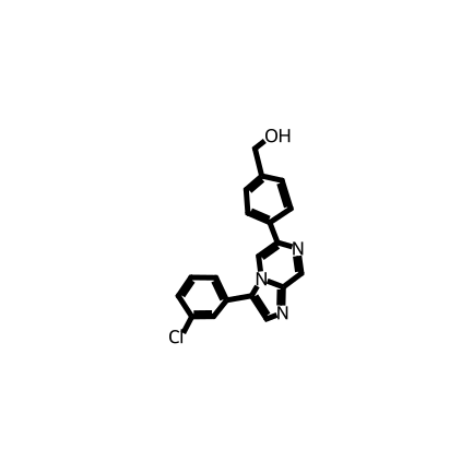 OCc1ccc(-c2cn3c(-c4cccc(Cl)c4)cnc3cn2)cc1